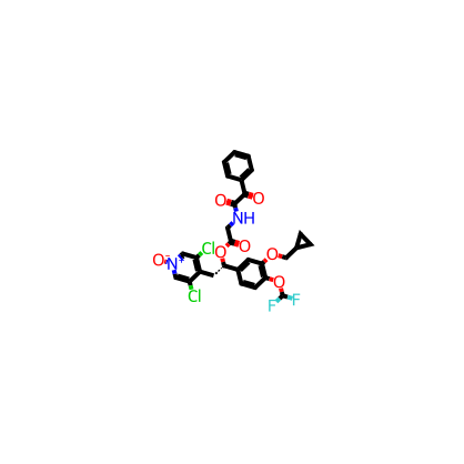 O=C(CNC(=O)C(=O)c1ccccc1)O[C@@H](Cc1c(Cl)c[n+]([O-])cc1Cl)c1ccc(OC(F)F)c(OCC2CC2)c1